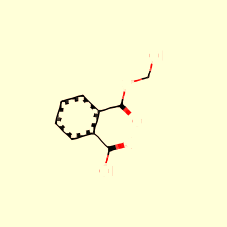 O=C(O)c1ccccc1C(=O)OCO